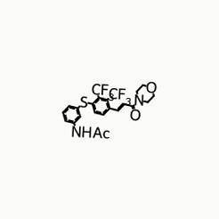 CC(=O)Nc1cccc(Sc2ccc(/C=C/C(=O)N3CCOCC3)c(C(F)(F)F)c2C(F)(F)F)c1